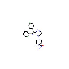 CC(C)N1CNC(=O)C12CCN(c1ccnc3c(-c4ccc(Cl)cc4)c(-c4ccccc4Cl)nn13)CC2